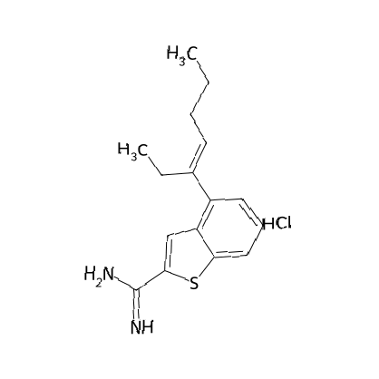 CCC/C=C(\CC)c1cccc2sc(C(=N)N)cc12.Cl